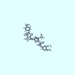 Cc1ccc(NC(=O)C2(C(=O)Nc3nc(C4CC4)c(C(=O)Nc4ccc(C)c(C)c4)s3)CC2)cc1